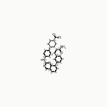 CCC(=O)N1CCN(c2ccc(Nc3ncc4cccc(-c5cccc(C=CC(N)=O)c5)c4n3)cc2)CC1